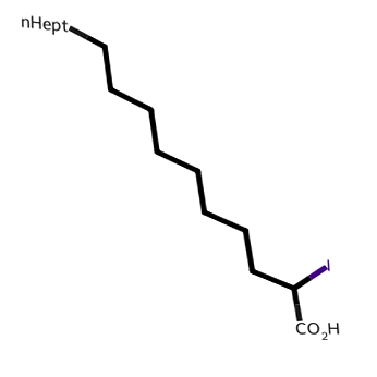 CCCCCCCCCCCCCCCC(I)C(=O)O